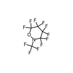 FC(F)(F)N1OC(F)(F)C(F)(F)C(F)(F)C1(F)F